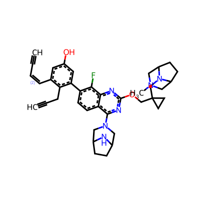 C#C/C=C\c1cc(O)cc(-c2ccc3c(N4CC5CCC(C4)N5)nc(OCC4(CN5C6CCC5CN(C)C6)CC4)nc3c2F)c1CC#C